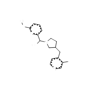 COc1cccc(C(C)N2CCC(Cc3ccncc3F)C2)n1